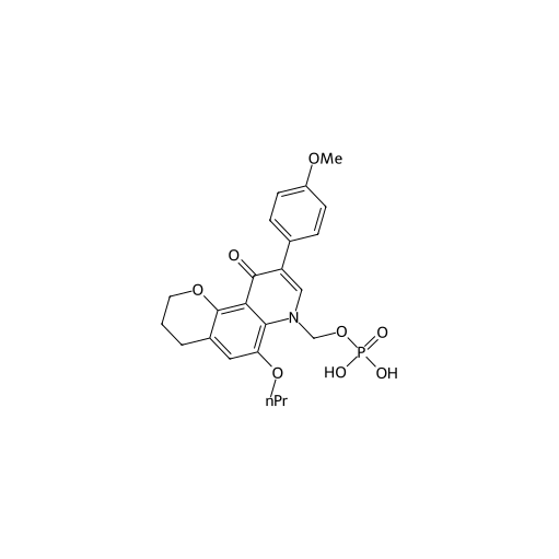 CCCOc1cc2c(c3c(=O)c(-c4ccc(OC)cc4)cn(COP(=O)(O)O)c13)OCCC2